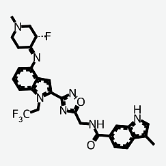 Cc1c[nH]c2cc(C(=O)NCc3nc(-c4cc5c(/N=C6\CCN(C)C[C@@H]6F)cccc5n4CC(F)(F)F)no3)ccc12